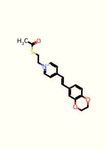 CC(=O)SCC[n+]1ccc(/C=C/c2ccc3c(c2)OCCO3)cc1